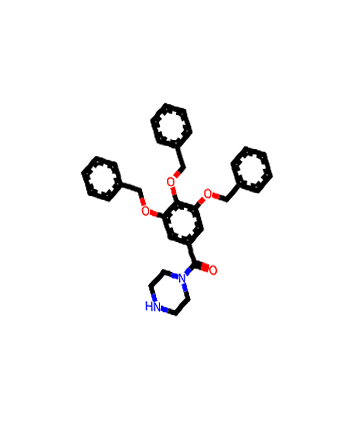 O=C(c1cc(OCc2ccccc2)c(OCc2ccccc2)c(OCc2ccccc2)c1)N1CCNCC1